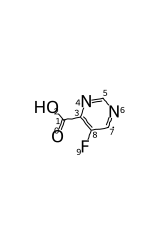 O=C(O)c1ncn[c]c1F